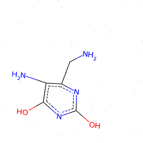 NCc1nc(O)nc(O)c1N